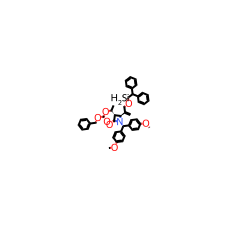 C=C(CO[SiH2]C(c1ccccc1)c1ccccc1)[C@@H]1[C@@H](C(C)OC(=O)OCc2ccccc2)C(=O)N1C(c1ccc(OC)cc1)c1ccc(OC)cc1